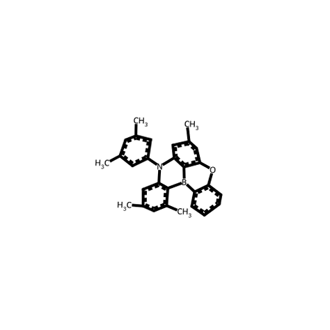 Cc1cc(C)cc(N2c3cc(C)cc(C)c3B3c4ccccc4Oc4cc(C)cc2c43)c1